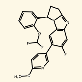 COc1ccc(-c2cc3c(cc2F)nc2n3[C@@H](c3ccccc3OC(F)F)CC2)cn1